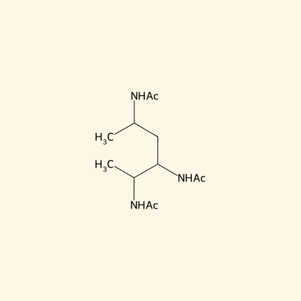 CC(=O)NC(C)CC(NC(C)=O)C(C)NC(C)=O